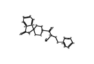 O=C1OC2(CCN(C(=O)N(Br)CCc3ccccc3)CC2)c2ccccc21